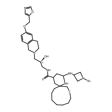 CC(=O)N1CC(NC2CC(C(=O)NC[C@H](O)CN3CCc4cc(OCc5cnco5)ccc4C3)CC3(CCCCCCCCC3)N2)C1